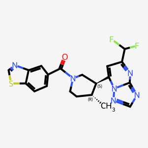 C[C@@H]1CCN(C(=O)c2ccc3scnc3c2)C[C@H]1c1cc(C(F)F)nc2ncnn12